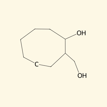 OCC1CCCCCCC1O